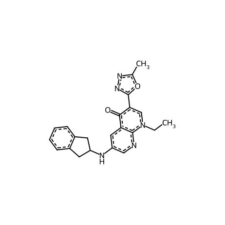 CCn1cc(-c2nnc(C)o2)c(=O)c2cc(NC3Cc4ccccc4C3)cnc21